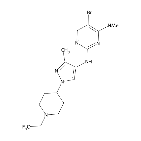 CNc1nc(Nc2cn(C3CCN(CC(F)(F)F)CC3)nc2C)ncc1Br